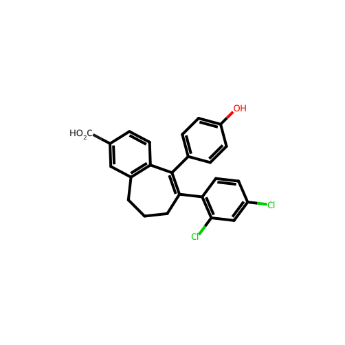 O=C(O)c1ccc2c(c1)CCCC(c1ccc(Cl)cc1Cl)=C2c1ccc(O)cc1